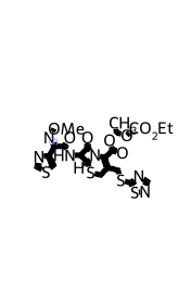 CCOC(=O)OC(C)OC(=O)C1=C(CSc2ncns2)CS[C@@H]2C(NC(=O)/C(=N\OC)c3cscn3)C(=O)N12